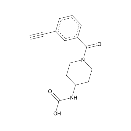 C#Cc1cccc(C(=O)N2CCC(NC(=O)O)CC2)c1